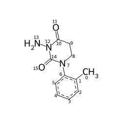 Cc1ccccc1N1CCC(=O)N(N)C1=O